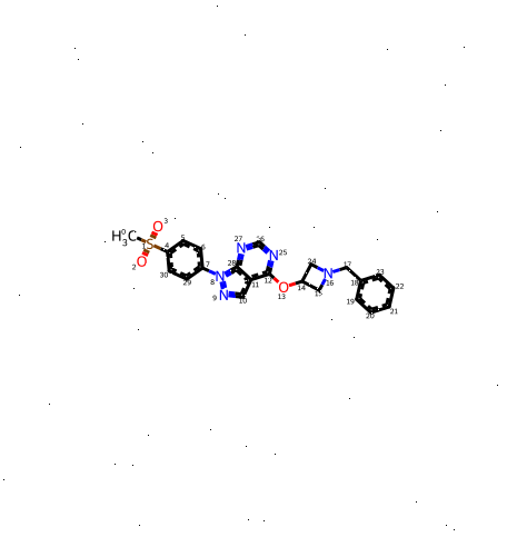 CS(=O)(=O)c1ccc(-n2ncc3c(OC4CN(Cc5ccccc5)C4)ncnc32)cc1